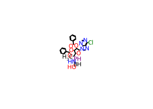 C[C@H](PNBO)[C@H]1O[C@@H](n2cnc3c(Cl)ncnc32)[C@H](OC(=O)c2ccccc2)[C@@H]1OC(=O)c1ccccc1